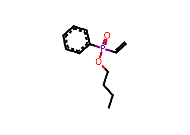 C=CP(=O)(OCCCC)c1ccccc1